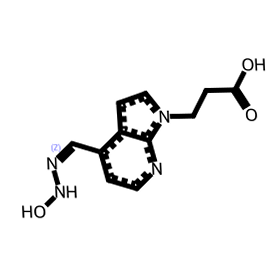 O=C(O)CCn1ccc2c(/C=N\NO)ccnc21